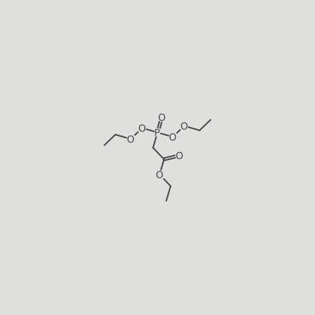 CCOOP(=O)(CC(=O)OCC)OOCC